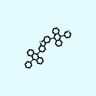 c1ccc(-c2c3ccccc3c(-c3ccc4c(c3)oc3ccc(-c5c6ccccc6c(-c6cccnc6)c6ccccc56)cc34)c3ccccc23)cc1